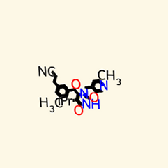 Cc1cc(CCC#N)cc(C(=O)c2c(C(C)C)c(=O)[nH]c(=O)n2Cc2ccnc(C)c2)c1